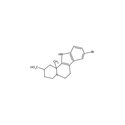 CC12CC(C(=O)O)CCN1CCc1c2[nH]c2ccc(Br)cc12